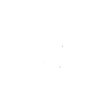 Cc1ccc(-c2c(CC#N)c(C)nc(CC(C)C)c2CN)cc1